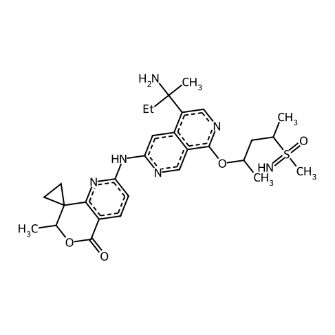 CCC(C)(N)c1cnc(OC(C)CC(C)S(C)(=N)=O)c2cnc(Nc3ccc4c(n3)C3(CC3)C(C)OC4=O)cc12